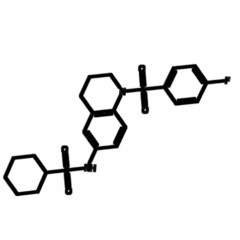 O=S(=O)(Nc1ccc2c(c1)CCCN2S(=O)(=O)c1ccc(F)cc1)C1CCCCC1